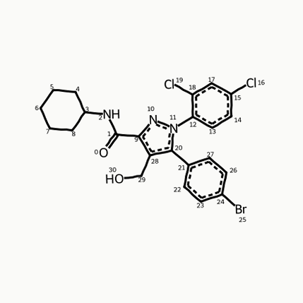 O=C(NC1CCCCC1)c1nn(-c2ccc(Cl)cc2Cl)c(-c2ccc(Br)cc2)c1CO